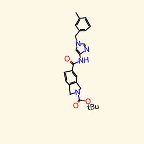 Cc1cccc(Cn2cnc(NC(=O)c3ccc4c(c3)CN(C(=O)OC(C)(C)C)C4)c2)c1